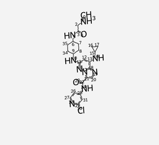 CNCC(=O)NC1CCC(Nc2cc(NC3CC3)c3ncc(C(=O)Nc4ccnc(Cl)c4)n3n2)CC1